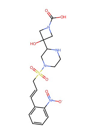 O=C(O)N1CC(O)(C2CN(S(=O)(=O)CC=Cc3ccccc3[N+](=O)[O-])CCN2)C1